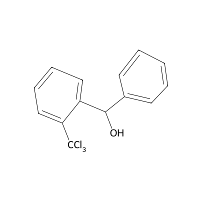 OC(c1ccccc1)c1ccccc1C(Cl)(Cl)Cl